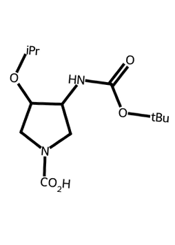 CC(C)OC1CN(C(=O)O)CC1NC(=O)OC(C)(C)C